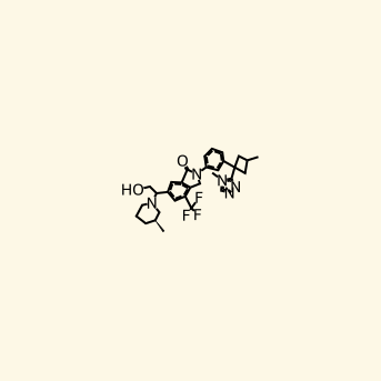 CC1CC(c2cccc(N3Cc4c(cc(C(CO)N5CCC[C@H](C)C5)cc4C(F)(F)F)C3=O)c2)(c2nncn2C)C1